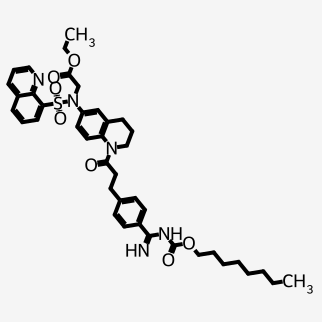 CCCCCCCCOC(=O)NC(=N)c1ccc(CCC(=O)N2CCCc3cc(N(CC(=O)OCC)S(=O)(=O)c4cccc5cccnc45)ccc32)cc1